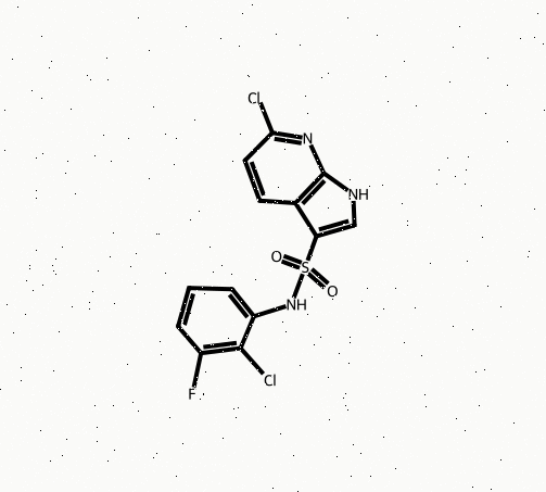 O=S(=O)(Nc1cccc(F)c1Cl)c1c[nH]c2nc(Cl)ccc12